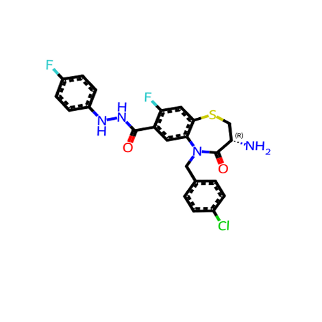 N[C@H]1CSc2cc(F)c(C(=O)NNc3ccc(F)cc3)cc2N(Cc2ccc(Cl)cc2)C1=O